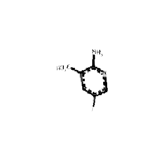 Nc1ncc(I)cc1C(=O)O